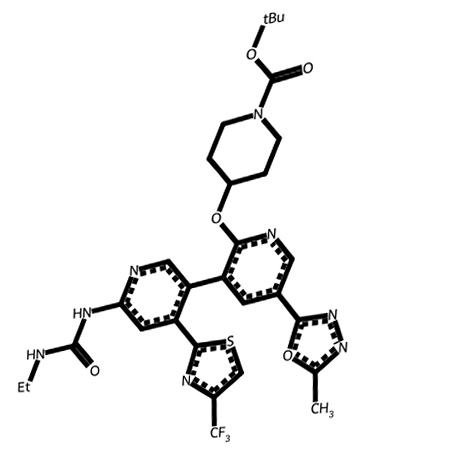 CCNC(=O)Nc1cc(-c2nc(C(F)(F)F)cs2)c(-c2cc(-c3nnc(C)o3)cnc2OC2CCN(C(=O)OC(C)(C)C)CC2)cn1